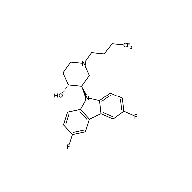 O[C@@H]1CCN(CCCC(F)(F)F)C[C@H]1n1c2ccc(F)cc2c2cc(F)ccc21